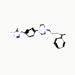 CC(C)n1ncn(-c2ccc(N3CCN(CCCC(C(=O)O)c4ccccc4)CC3)cc2)c1=O